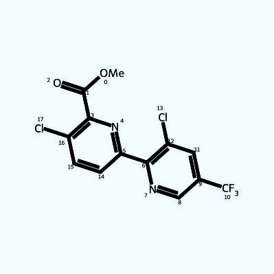 COC(=O)c1nc(-c2ncc(C(F)(F)F)cc2Cl)ccc1Cl